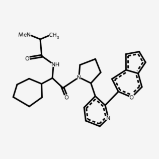 CNC(C)C(=O)NC(C(=O)N1CCCC1c1cccnc1-c1cc2cccc-2co1)C1CCCCC1